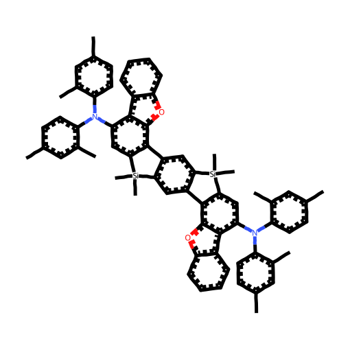 Cc1ccc(N(c2ccc(C)cc2C)c2cc3c(c4oc5ccccc5c24)-c2cc4c(cc2[Si]3(C)C)-c2c(cc(N(c3ccc(C)cc3C)c3ccc(C)cc3C)c3c2oc2ccccc23)[Si]4(C)C)c(C)c1